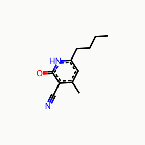 CCCCc1cc(C)c(C#N)c(=O)[nH]1